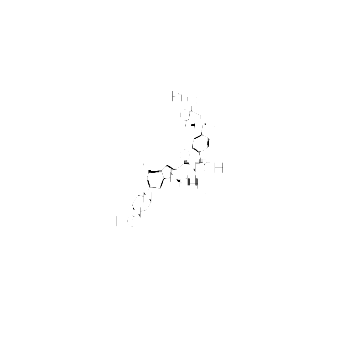 CC(C)OC(=O)CS(=O)(=O)c1ccc([C@@H](C)NC(=O)c2cc3c(Cl)cc(N4CCN(C)CC4)cc3n2C)cc1